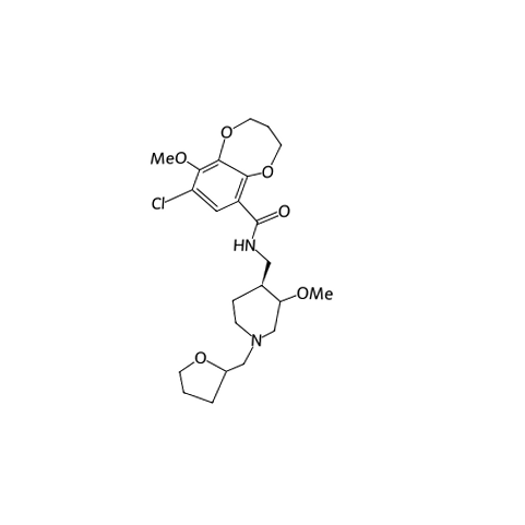 COc1c(Cl)cc(C(=O)NC[C@@H]2CCN(CC3CCCO3)CC2OC)c2c1OCCCO2